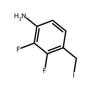 Nc1ccc(CI)c(F)c1F